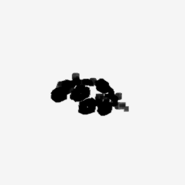 COC(=O)C(Cc1ccc(OCCN(C(=O)c2cnc3ccccc3n2)c2ccccc2)cc1)Nc1ccccc1C(=O)c1ccccc1